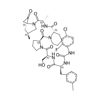 Cc1cccc(C[C@H](NC(=O)Nc2ccc(Cl)cc2F)C(=O)N[C@@H](CO)C(=O)N2CCC[C@H]2C(=O)N2CCCC[C@H]2C(=O)N[C@@H](C)C(=O)N2C[C@@H](C)C[C@@]23CC3=O)c1